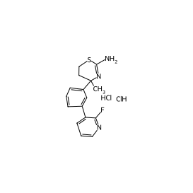 CC1(c2cccc(-c3cccnc3F)c2)CCSC(N)=N1.Cl.Cl